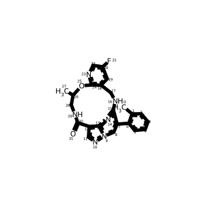 Cc1ccccc1-c1cn2ncc3c2nc1NCc1cc(F)cnc1OC(C)CNC3=O